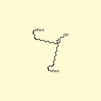 CCCCC/C=C\C/C=C\CCCCCCCCC1(CCCCCCCC/C=C\C/C=C\CCCCC)CN(CCO)C1